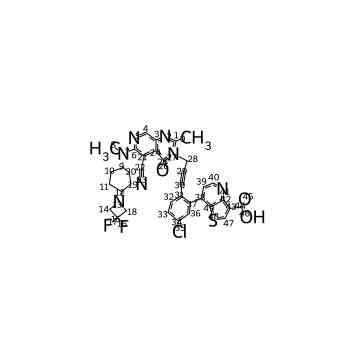 Cc1nc2cnc(N(C)[C@H]3CC[C@H](N4CC(F)(F)C4)CC3)c(C#N)c2c(=O)n1CC#Cc1ccc(Cl)cc1-c1ccnc2c(C(=O)O)csc12